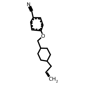 C=CCC1CCC(COc2ccc(C#N)cc2)CC1